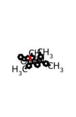 Cc1ccc(N2c3ccc(C)cc3B3c4cc(C)ccc4N(c4ccc(C)cc4-c4cccc5c4oc4ccccc45)c4cccc2c43)cc1